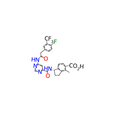 Cc1c(C(=O)O)ccc2c1CC[C@@H]2NC(=O)c1cc(NC(=O)Cc2ccc(F)c(C(F)(F)F)c2)ncn1